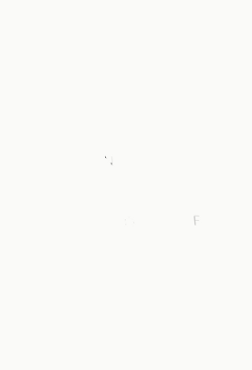 Fc1[c]n[c]o1